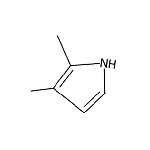 Cc1cc[nH]c1C